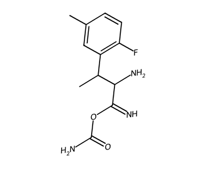 Cc1ccc(F)c(C(C)C(N)C(=N)OC(N)=O)c1